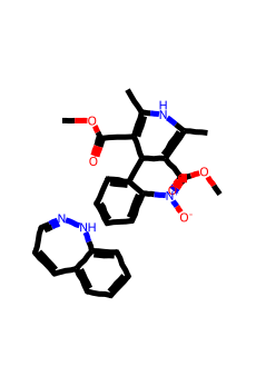 C1=Cc2ccccc2NN=C1.COC(=O)C1=C(C)NC(C)=C(C(=O)OC)C1c1ccccc1[N+](=O)[O-]